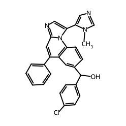 Cn1cncc1-c1cnc2cc(-c3ccccc3)c3cc(C(O)c4ccc(Cl)cc4)ccc3n12